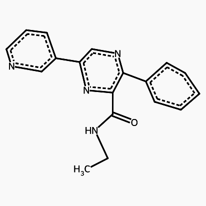 CCNC(=O)c1nc(-c2cccnc2)cnc1-c1ccccc1